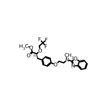 COC(=O)[C@H](Cc1ccc(OCCN(C)c2nc3ccccc3o2)cc1)OCC(F)(F)F